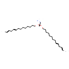 CCCCCC=CCC=CCCCCCCCCOC(C)(CN(C)C)OCCCCCCCCC=CCC=CCCCCC